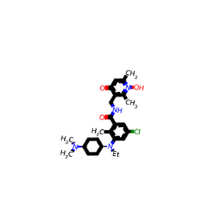 CCN(c1cc(Cl)cc(C(=O)NCc2c(C)n(O)c(C)cc2=O)c1C)[C@H]1CC[C@H](N(C)C)CC1